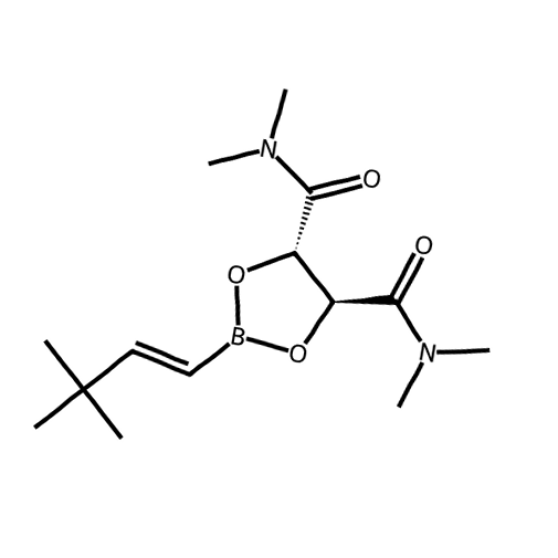 CN(C)C(=O)[C@H]1OB(/C=C/C(C)(C)C)O[C@@H]1C(=O)N(C)C